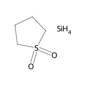 O=S1(=O)CCCC1.[SiH4]